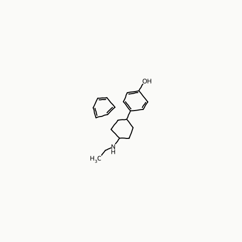 CCNC1CCC(c2ccc(O)cc2)CC1.c1ccccc1